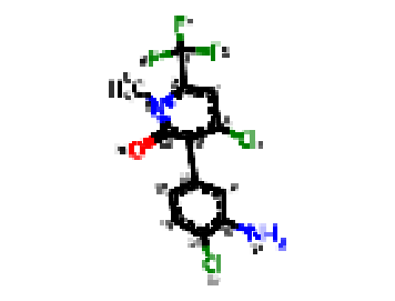 Cn1c(C(F)(F)F)cc(Cl)c(-c2ccc(Cl)c(N)c2)c1=O